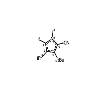 Cc1c(C(C)C)c(C(C)(C)C)c(C#N)n1C